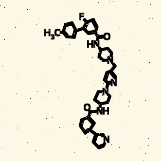 Cc1ccc(-c2cc(C(=O)NC3CCN(Cc4ccc(N5CCC(NC(=O)c6cccc(-c7cccnc7)c6)CC5)nc4)CC3)ccc2F)cc1